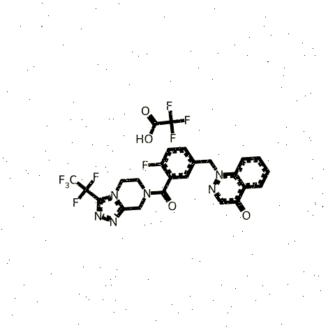 O=C(O)C(F)(F)F.O=C(c1cc(Cn2ncc(=O)c3ccccc32)ccc1F)N1CCn2c(nnc2C(F)(F)C(F)(F)F)C1